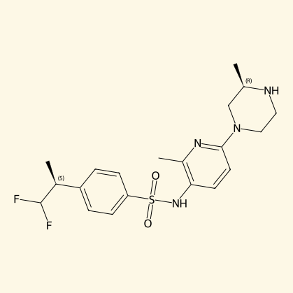 Cc1nc(N2CCN[C@H](C)C2)ccc1NS(=O)(=O)c1ccc([C@H](C)C(F)F)cc1